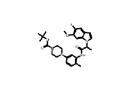 COc1cc2c(ccn2C(C)C(=O)Nc2cc(N3CCN(C(=O)OC(C)(C)C)CC3)ccc2C)cc1F